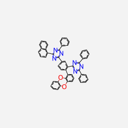 c1ccc(-c2nc(-c3ccccc3)nc(-c3cc(-c4nc(-c5ccccc5)nc(-c5cccc6ccccc56)n4)ccc3-c3cccc4c3Oc3ccccc3O4)n2)cc1